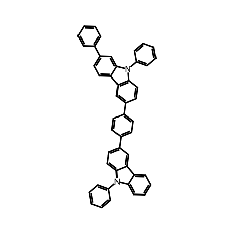 c1ccc(-c2ccc3c4cc(-c5ccc(-c6ccc7c(c6)c6ccccc6n7-c6ccccc6)cc5)ccc4n(-c4ccccc4)c3c2)cc1